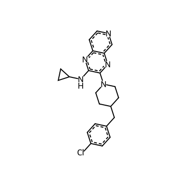 Clc1ccc(CC2CCN(c3nc4cnccc4nc3NC3CC3)CC2)cc1